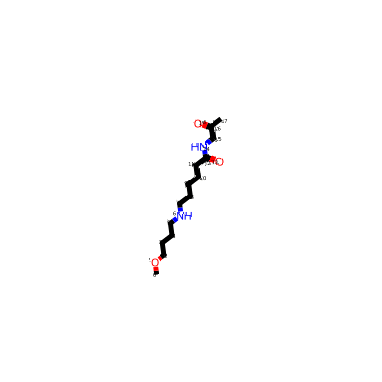 COCCCCNCCCCCC(=O)NCC(C)=O